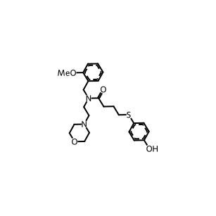 COc1ccccc1CN(CCN1CCOCC1)C(=O)CCCSc1ccc(O)cc1